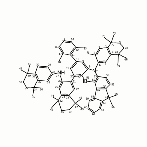 Cc1cc2c(cc1N1c3cc(-c4c(C)cccc4C)cc(-c4cc5c(cc4Nc4ccc6c(c4)C(C)(C)CCC6(C)C)C(C)(C)CCC5(C)C)c3Bc3c1ccc1c3-c3ccccc3C1(C)C)C(C)(C)CCC2(C)C